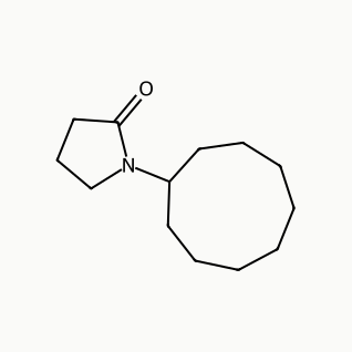 O=C1CCCN1C1CCCCCCCC1